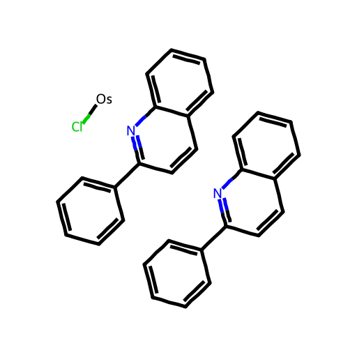 [Cl][Os].c1ccc(-c2ccc3ccccc3n2)cc1.c1ccc(-c2ccc3ccccc3n2)cc1